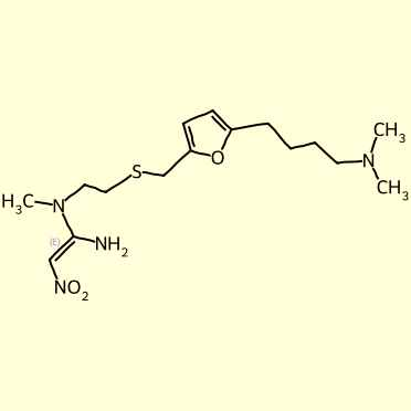 CN(C)CCCCc1ccc(CSCCN(C)/C(N)=C/[N+](=O)[O-])o1